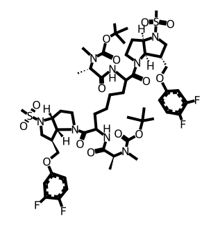 C[C@@H](C(=O)NC(CCCCC(NC(=O)[C@H](C)N(C)C(=O)OC(C)(C)C)C(=O)N1CC[C@@H]2[C@H]1[C@@H](COc1ccc(F)c(F)c1)CN2S(C)(=O)=O)C(=O)N1CC[C@@H]2[C@H]1[C@@H](COc1ccc(F)c(F)c1)CN2S(C)(=O)=O)N(C)C(=O)OC(C)(C)C